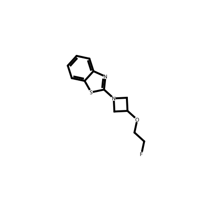 FCCOC1CN(c2nc3ccccc3s2)C1